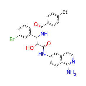 CCc1ccc(C(=O)NC(c2cccc(Br)c2)C(O)C(=O)Nc2ccc3c(N)nccc3c2)cc1